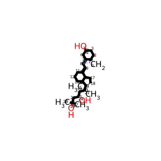 C=C1CC[C@H](O)C/C1=C/C=C1CCC[C@@]2(C)C1CC[C@@H]2[C@H](C)CC(O)CC(C)(C)O